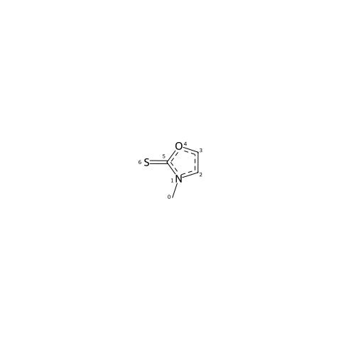 Cn1ccoc1=S